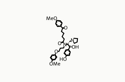 COc1ccc(OCCCN(C(=O)CCCCC(=O)c2ccc(OC)cc2)[C@H](CN2CCCC2)[C@H](O)c2ccc(O)cc2)cc1